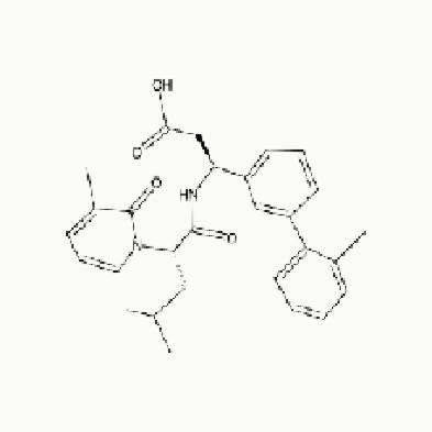 Cc1ccccc1-c1cccc([C@H](CC(=O)O)NC(=O)[C@H](CC(C)C)n2cccc(C)c2=O)c1